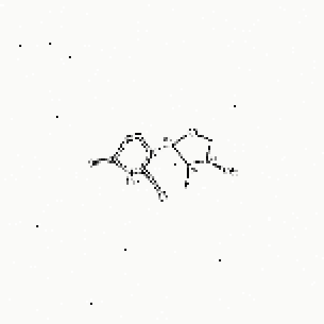 O=c1ccn([C@@H]2OC[C@@H](O)[C@H]2F)c(=O)[nH]1